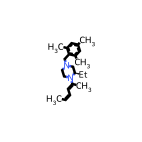 C/C=C\C=C(/C)N1CCN(Cc2c(C)cc(C)cc2C)C[C@H]1CC